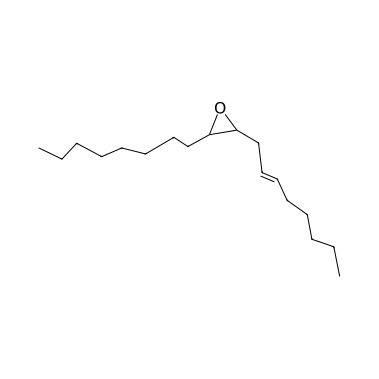 CCCCC/C=C/CC1OC1CCCCCCCC